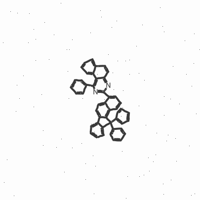 c1ccc(-c2nc(-c3cccc4c5c(ccc34)-c3ccccc3C5(c3ccccc3)c3ccccc3)nc3ccc4ccccc4c23)cc1